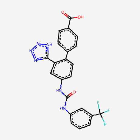 O=C(Nc1cccc(C(F)(F)F)c1)Nc1ccc(-c2ccc(C(=O)O)cc2)c(-c2nnn[nH]2)c1